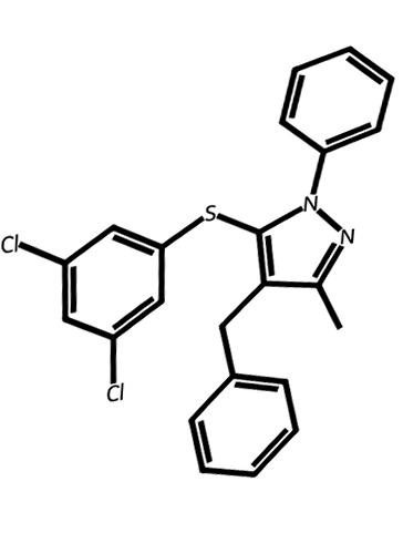 Cc1nn(-c2ccccc2)c(Sc2cc(Cl)cc(Cl)c2)c1Cc1ccccc1